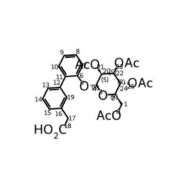 CC(=O)OC[C@H]1O[C@H](Oc2ccccc2-c2cccc(CC(=O)O)c2)[C@@H](OC(C)=O)[C@@H](OC(C)=O)[C@@H]1OC(C)=O